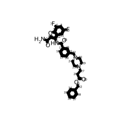 NC(=O)c1oc2c(F)cc(F)cc2c1NC(=O)c1cccc(CN2CCN(CCC(=O)OCc3ccccc3)CC2)c1